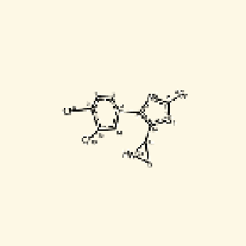 Clc1ccc(-c2nc(Br)sc2C2CN2)cc1Cl